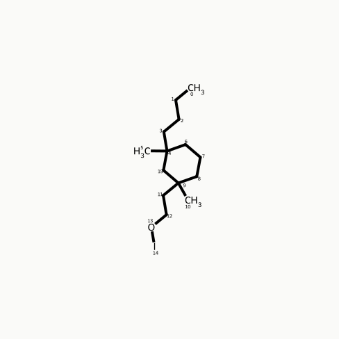 CCCCC1(C)CCCC(C)(CCOI)C1